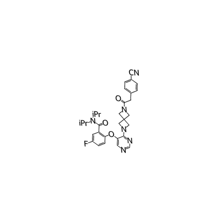 CC(C)N(C(=O)c1cc(F)ccc1Oc1cncnc1N1CC2(CN(C(=O)Cc3ccc(C#N)cc3)C2)C1)C(C)C